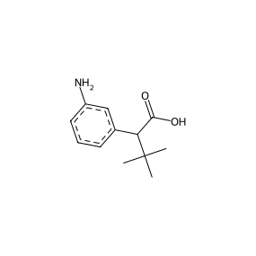 CC(C)(C)C(C(=O)O)c1cccc(N)c1